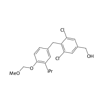 COCOc1ccc(Cc2c(Cl)cc(CO)cc2Cl)cc1C(C)C